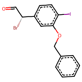 O=C[C@@H](Br)c1ccc(I)c(OCc2ccccc2)c1